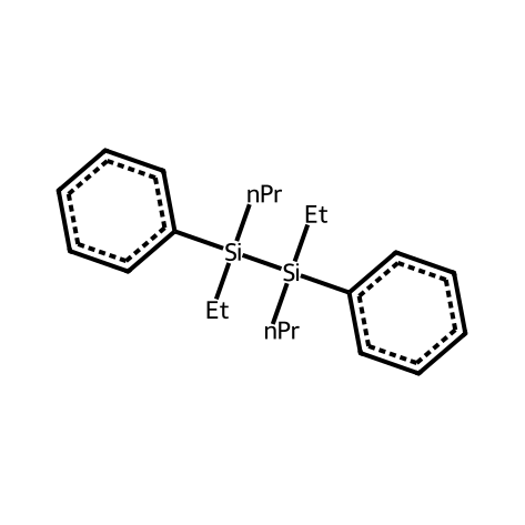 CCC[Si](CC)(c1ccccc1)[Si](CC)(CCC)c1ccccc1